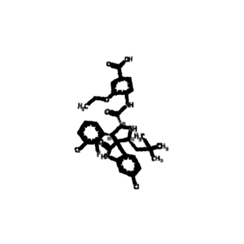 CCOc1cc(C(=O)O)ccc1NC(=O)[C@@H]1N[C@@H](CC(C)(C)C)C2(C(=O)Nc3cc(Cl)ccc32)[C@@H]1c1cccc(Cl)c1F